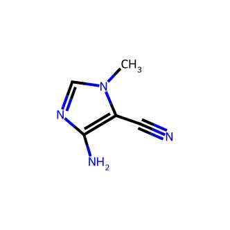 Cn1cnc(N)c1C#N